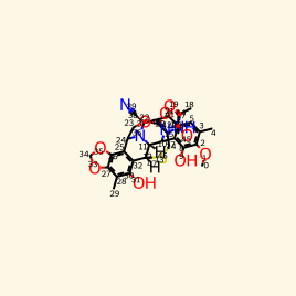 COc1c(C)cc2c(c1O)C1[C@@H]3[C@@H]4SCC(NC(C)=O)C(=O)OCC(c5c6c(c(C)c(O)c54)OCO6)N3[C@@H](C#N)C(C2)N1C(C)=O